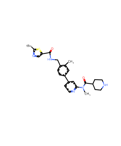 Cc1cc(-c2ccnc(N(C)C(=O)C3CCNCC3)c2)ccc1CNC(=O)c1cnc(C(C)(C)C)s1